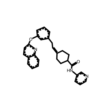 O=C(Nc1cccnc1)C1CCC(=CCc2cccc(Oc3ccc4ccccc4n3)c2)CC1